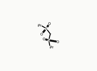 CC(C)S(=O)(=O)[CH]S(=O)(=O)C(C)C